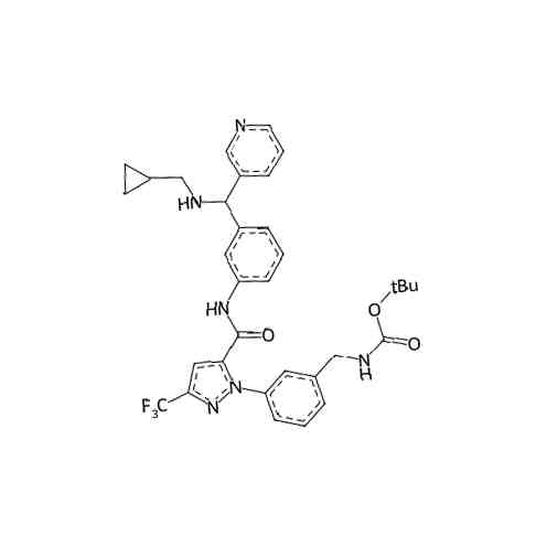 CC(C)(C)OC(=O)NCc1cccc(-n2nc(C(F)(F)F)cc2C(=O)Nc2cccc(C(NCC3CC3)c3cccnc3)c2)c1